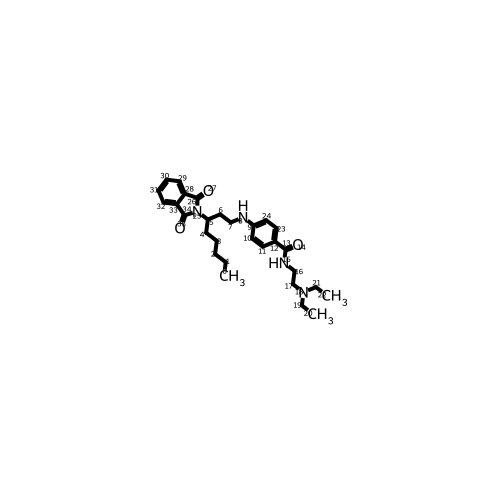 CCCCCC(CCNc1ccc(C(=O)NCCN(CC)CC)cc1)N1C(=O)c2ccccc2C1=O